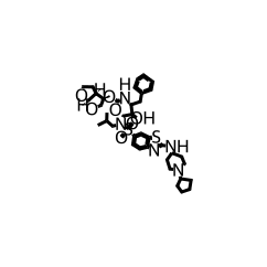 CC(C)CN(CC(O)C(Cc1ccccc1)NC(=O)O[C@H]1CO[C@H]2OCC[C@H]21)S(=O)(=O)c1ccc2nc(NC3CCN(C4CCCC4)CC3)sc2c1